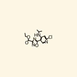 CCOC(=O)c1noc(-c2cnc(Cl)cc2NC(C)C)n1